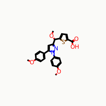 COc1ccc(-c2cc(C(OC)c3ccc(C(=O)O)s3)nn2-c2ccc(OC)cc2)cc1